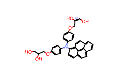 O/C=C(/O)COc1ccc(N(c2ccc(OCC(O)CO)cc2)c2ccc3ccc4cccc5ccc2c3c45)cc1